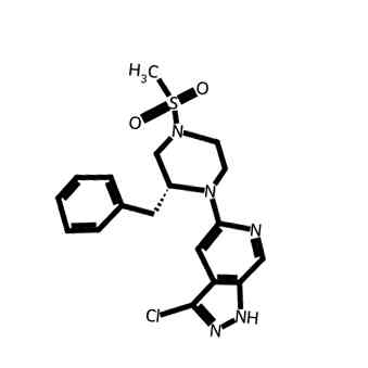 CS(=O)(=O)N1CCN(c2cc3c(Cl)n[nH]c3cn2)[C@H](Cc2ccccc2)C1